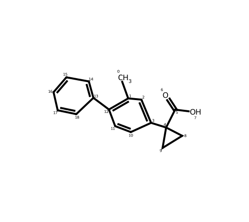 Cc1cc(C2(C(=O)O)CC2)ccc1-c1ccccc1